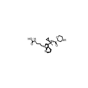 C[C@@](NC(=O)[C@H]1CNCCO1)(c1cn(CCCNC(=O)O)c2ncccc12)C1CC1